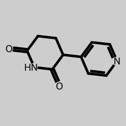 O=C1CCC(c2ccncc2)C(=O)N1